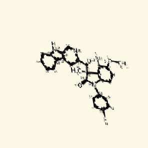 COc1ccc2c(c1N)[C@@](C)(C(=O)c1cc3c(cn1)[nH]c1ccccc13)C(=O)N2c1ccc(F)cc1